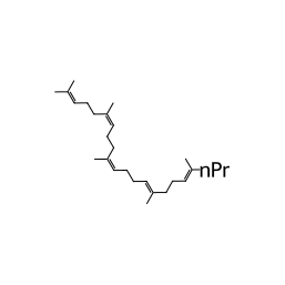 CCCC(C)=CCCC(C)=CCCC=C(C)CCC=C(C)CCC=C(C)C